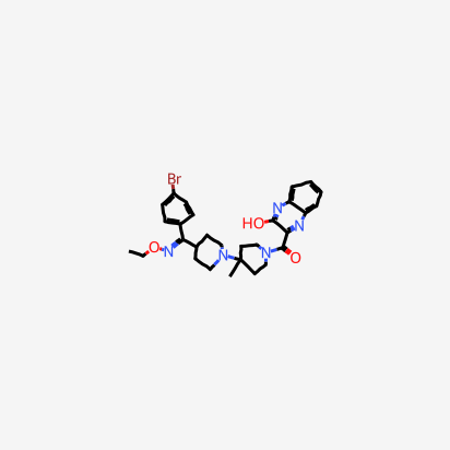 CCON=C(c1ccc(Br)cc1)C1CCN(C2(C)CCN(C(=O)c3nc4ccccc4nc3O)CC2)CC1